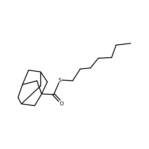 CCCCCCCSC(=O)C12CC3CC(CC(C3)C1)C2